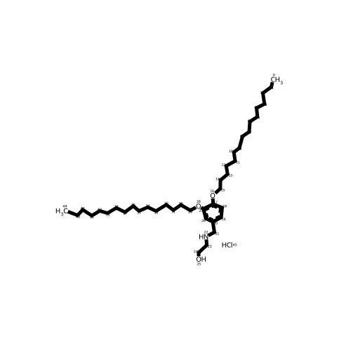 CCCCCCCCCCCCCCCCOc1ccc(CNCCO)cc1OCCCCCCCCCCCCCCCC.Cl